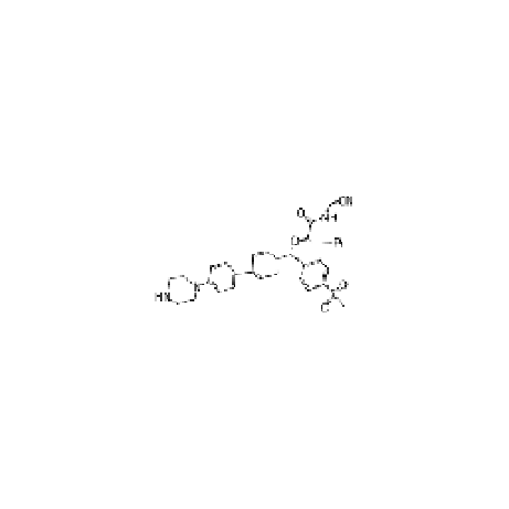 CC(C)C[C@H](O[C@@H](c1ccc(-c2ccc(N3CCNCC3)cc2)cc1)c1ccc(S(C)(=O)=O)cc1)C(=O)NCC#N